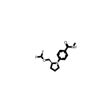 CNC(=O)c1ccc(N2CCC[C@H]2COC(F)F)cc1